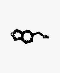 CC(C)(C)Cc1ccc2cocc2c1